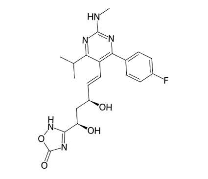 CNc1nc(-c2ccc(F)cc2)c(/C=C/[C@@H](O)C[C@@H](O)c2nc(=O)o[nH]2)c(C(C)C)n1